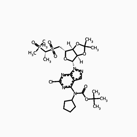 C[C@H](P(C)(C)=O)S(=O)(=O)C[C@H]1O[C@@H](n2ncc3c(N(C(=O)OC(C)(C)C)C4CCCC4)nc(Cl)nc32)[C@@H]2OC(C)(C)O[C@@H]21